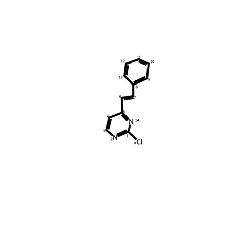 Clc1nccc(C=Cc2ccccc2)n1